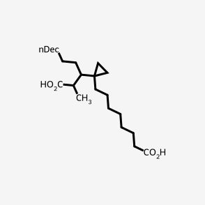 CCCCCCCCCCCCC(C(C)C(=O)O)C1(CCCCCCCC(=O)O)CC1